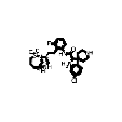 NC(C(=O)Nc1cccc(F)c1CC[C@H]1CN[C@@H]2CCCS(=O)(=O)N1C2)C1(c2ccc(Cl)cc2)CCNCC1